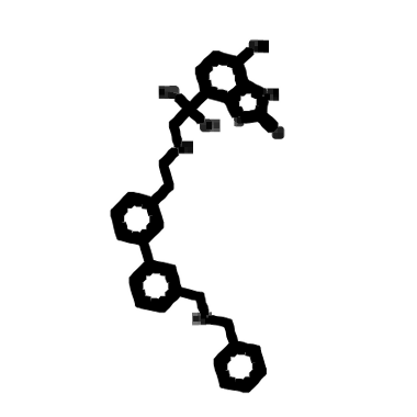 O=c1[nH]c2c(O)ccc(C(O)(O)CNCCc3cccc(-c4cccc(CNCc5ccccc5)c4)c3)c2s1